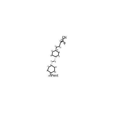 CCCCC[C@H]1CC[C@H](CC[C@H]2CC[C@H](CC/C=C(\F)C#N)CC2)CC1